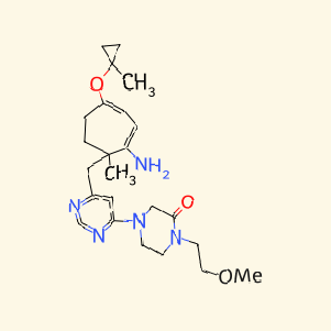 COCCN1CCN(c2cc(CC3(C)CCC(OC4(C)CC4)=CC=C3N)ncn2)CC1=O